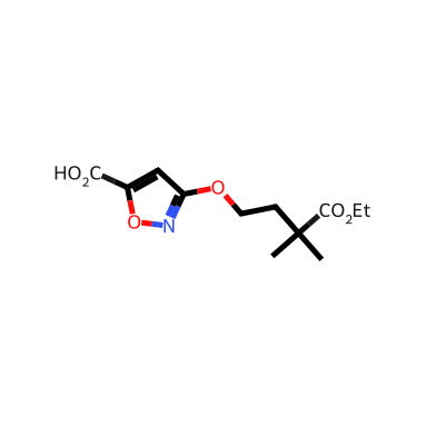 CCOC(=O)C(C)(C)CCOc1cc(C(=O)O)on1